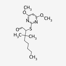 CCCCCC(C)(C)C(C=O)Sc1nc(OC)cc(OC)n1